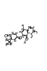 CCN(C)/C=N\c1cc(OC)c(Oc2ccc(Cl)c(C(F)(F)F)c2)cc1C